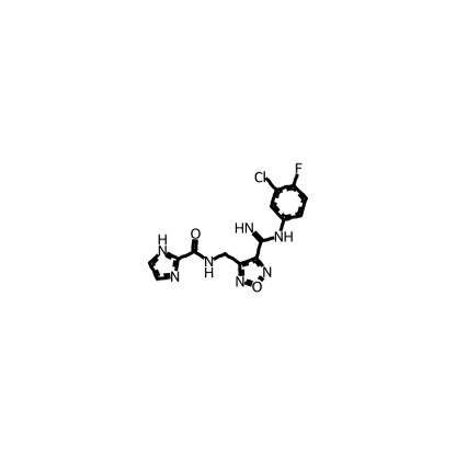 N=C(Nc1ccc(F)c(Cl)c1)c1nonc1CNC(=O)c1ncc[nH]1